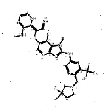 CNC1=NC=CN/C1=C(\C=N)Oc1cnc2nc(Nc3ccc(CN4CCC(F)(F)C4)c(C(F)(F)F)c3)n(C)c2c1Cl